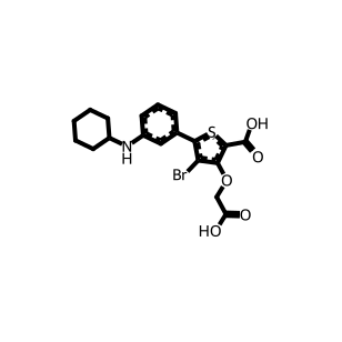 O=C(O)COc1c(C(=O)O)sc(-c2cccc(NC3CCCCC3)c2)c1Br